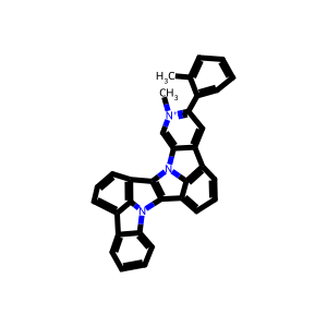 Cc1ccccc1-c1cc2c3cccc4c3n(c2c[n+]1C)c1c2cccc3c5ccccc5n(c32)c41